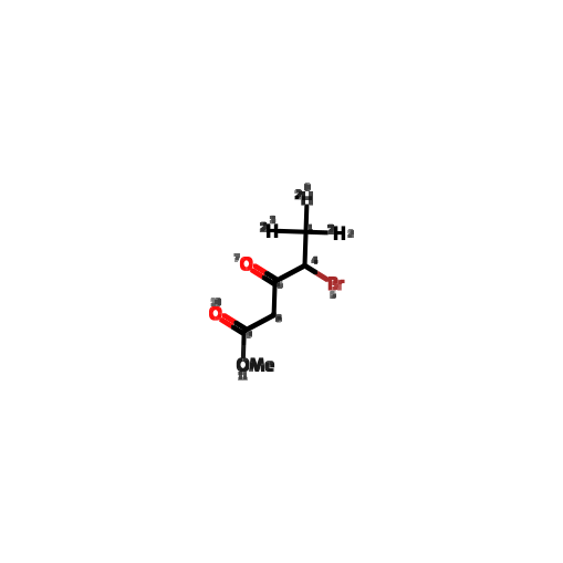 [2H]C([2H])([2H])C(Br)C(=O)CC(=O)OC